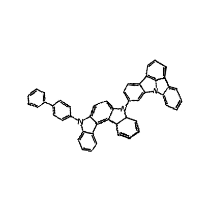 C1=CC2c3c(ccc4c3c3ccccc3n4-c3ccc(-c4ccccc4)cc3)N(c3ccc4c5cccc6c7ccccc7n(c4c3)c65)C2C=C1